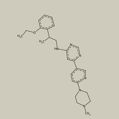 CCOc1ccccc1C(C)CNc1cc(-c2ccc(N3CCN(C)CC3)nc2)ncn1